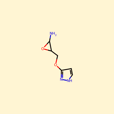 NC1OC1COc1cc[nH]n1